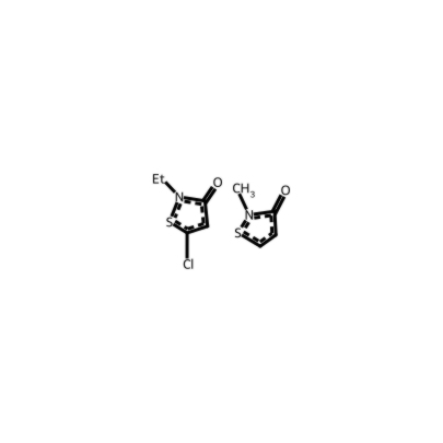 CCn1sc(Cl)cc1=O.Cn1sccc1=O